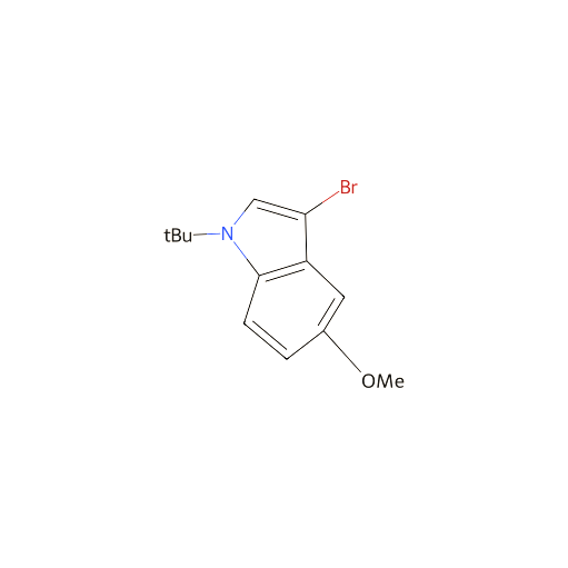 COc1ccc2c(c1)c(Br)cn2C(C)(C)C